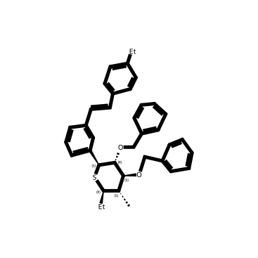 CCc1ccc(C=Cc2cccc([C@@H]3S[C@H](CC)[C@@H](C)[C@H](OCc4ccccc4)[C@H]3OCc3ccccc3)c2)cc1